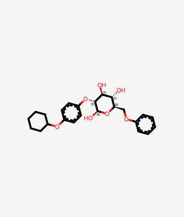 O[C@H]1[C@H](O)[C@@H](COc2ccccc2)O[C@@H](O)[C@@H]1Oc1ccc(OC2CCCCC2)cc1